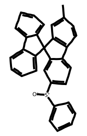 Cc1ccc2c(c1)C1(c3ccccc3-c3ccccc31)c1cc([S+]([O-])c3ccccc3)ccc1-2